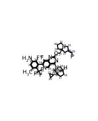 Cc1cc(N)c(F)c(-c2ncc3c(N4C[C@@H]5CC[C@](C6CC6)(C4)N5)nc(OC[C@@]45CCCN4C/C(=C/F)C5)nc3c2F)c1C(F)(F)F